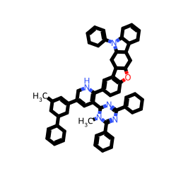 CC1C=C(C2=CC(C3N=C(C4=CCCCC4)N=C(C4=CCCC=C4)N3C)=C(C3=CC4=C(CC3)OC3CC5C6CC=CCC6N(C6=CC=CCC6)C5CC43)NC2)CC(C2C=CC=CC2)C1